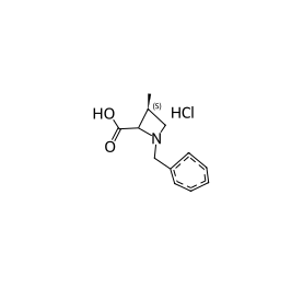 C[C@H]1CN(Cc2ccccc2)C1C(=O)O.Cl